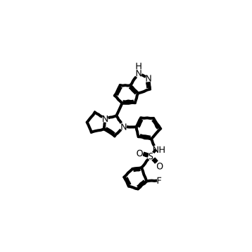 O=S(=O)(Nc1cccc(N2C=C3CCCN3C2c2ccc3[nH]ncc3c2)c1)c1ccccc1F